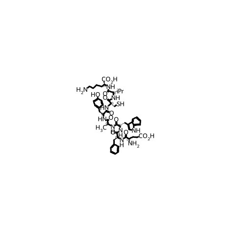 CC(C)[C@H](NC(=O)[C@H](CS)NC(=O)[C@H](Cc1ccc(O)cc1)NC(=O)[C@H](C)NC(=O)[C@H](Cc1c[nH]c2ccccc12)NC(=O)[C@H](Cc1ccccc1)NC(=O)[C@@H](N)CCC(=O)O)C(=O)N[C@@H](CCCCN)C(=O)O